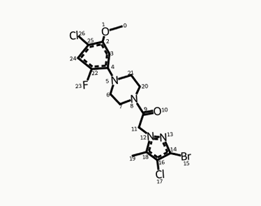 COc1cc(N2CCN(C(=O)Cn3nc(Br)c(Cl)c3C)CC2)c(F)cc1Cl